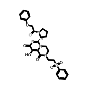 O=C1c2c(O)c(=O)nc([C@H]3CCCN3C(=O)COc3ccccc3)n2CCN1CCS(=O)(=O)c1ccccc1